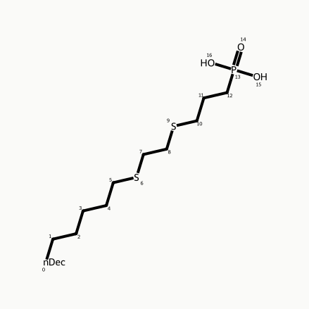 CCCCCCCCCCCCCCCSCCSCCCP(=O)(O)O